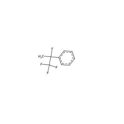 CC(F)(c1ccccc1)C(F)(F)F